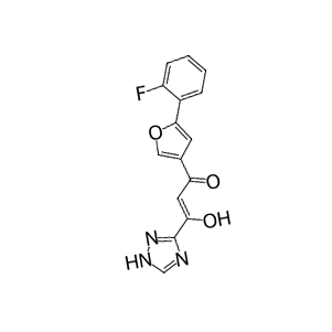 O=C(C=C(O)c1nc[nH]n1)c1coc(-c2ccccc2F)c1